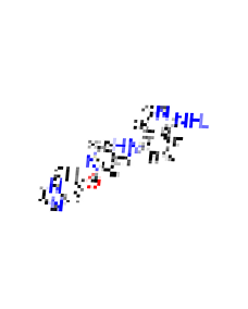 Cn1ccnc1CCOc1cc(CNc2cccc3c(N)nccc23)ccn1